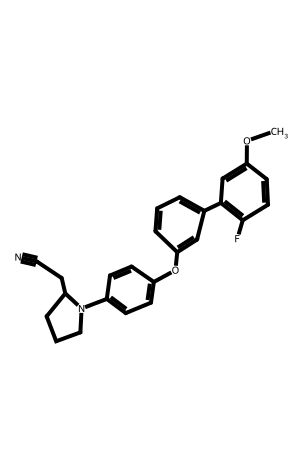 COc1ccc(F)c(-c2cccc(Oc3ccc(N4CCCC4CC#N)cc3)c2)c1